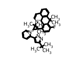 Cn1nc(C(C)(C)C)cc1-c1cccc[n+]1C1C2(C)c3ccc(F)c4c3-c3c5c(cccc5cc[n+]3C12C)C4(C)C